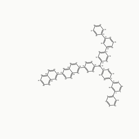 c1ccc(-c2cccc(-c3ccc(N(c4ccc(-c5cccc(-c6ccccc6)c5)cc4)c4ccc(-c5ccc6cc(-c7ccc8ccccc8c7)ccc6c5)cc4)cc3)c2)cc1